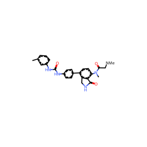 CNCC(=O)N(C)c1ccc(-c2ccc(NC(=O)Nc3cccc(C)c3)cc2)c2c1C(=O)NC2